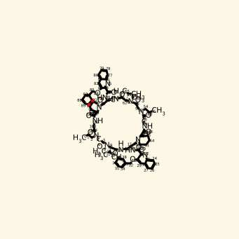 CCCN1CC(=O)N(C)[C@@H](C(C)C)C(=O)NC[C@@H](NC(=O)c2nc3ccccc3cc2OCc2ccccc2)C(=O)N2CCCC[C@H]2C(=O)NCC(=O)N(CCC)CC(=O)N(C)[C@@H](C(C)C)C(=O)NC[C@@H](NC(=O)c2nc3ccccc3cc2OCc2ccccc2)C(=O)N2CCCC[C@H]2C(=O)NCC1=O